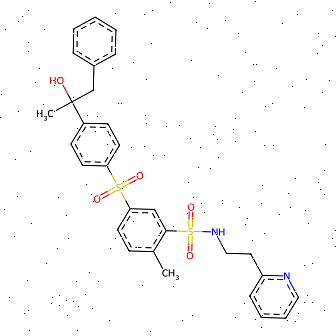 Cc1ccc(S(=O)(=O)c2ccc(C(C)(O)Cc3ccccc3)cc2)cc1S(=O)(=O)NCCc1ccccn1